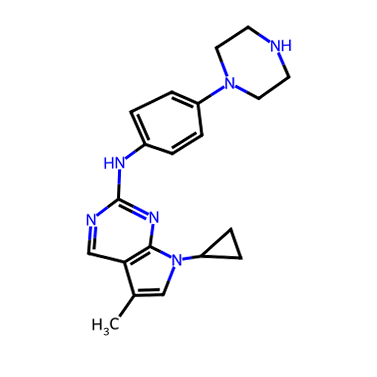 Cc1cn(C2CC2)c2nc(Nc3ccc(N4CCNCC4)cc3)ncc12